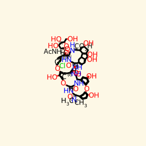 CC(=O)NC1C(O)[C@H](O)C(CO)O[C@H]1O[C@@H]1c2ccc(c(Cl)c2)Oc2cc3cc(c2O)OC[C@H]2NC(=O)[C@H](N(C)C)c4ccc(O)c(c4)Oc4cc(O)cc(c4)C(NC2=O)C(=O)N[C@H]3C(=O)N[C@H]2C(=O)N[C@@H]1C(=O)N[C@H](C(=O)O)C1=CC(O)CC3=C1C1CC2=CC=C1C3(O)O